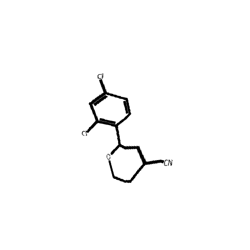 N#CC1CCOC(c2ccc(Cl)cc2Cl)C1